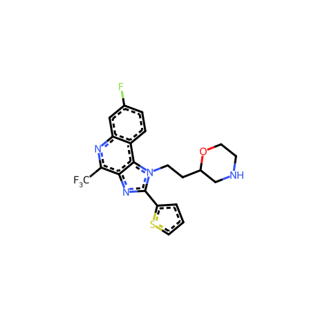 Fc1ccc2c(c1)nc(C(F)(F)F)c1nc(-c3cccs3)n(CCC3CNCCO3)c12